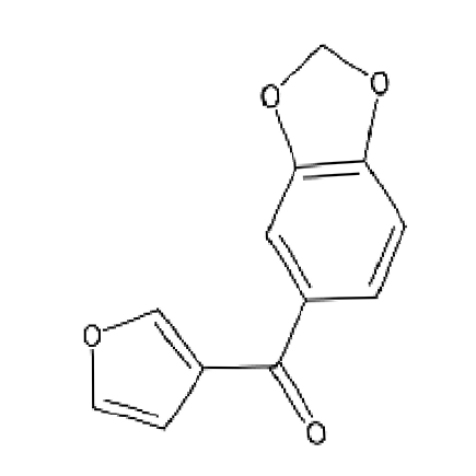 O=C(c1ccoc1)c1ccc2c(c1)OCO2